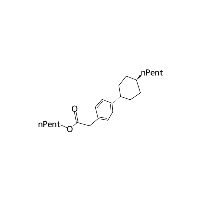 CCCCCOC(=O)Cc1ccc([C@H]2CC[C@H](CCCCC)CC2)cc1